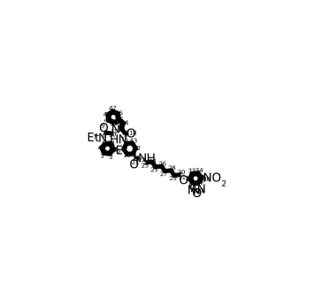 CCc1cccc(N(CC)C(=O)Cn2c(C(=O)N[C@H]3CC[C@H](C(=O)NCCCCCCCCOc4ccc([N+](=O)[O-])c5nonc45)CC3)cc3ccccc32)c1